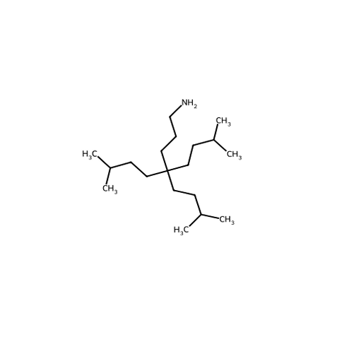 CC(C)CCC(CCCN)(CCC(C)C)CCC(C)C